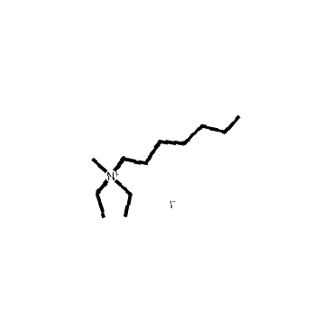 CCCCCCC[N+](C)(CC)CC.[I-]